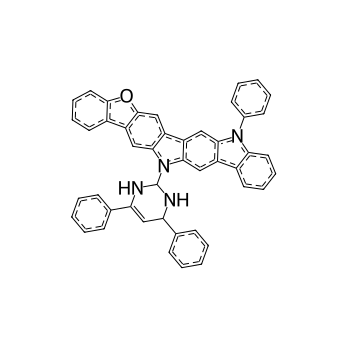 C1=C(c2ccccc2)NC(n2c3cc4c(cc3c3cc5c(cc32)c2ccccc2n5-c2ccccc2)oc2ccccc24)NC1c1ccccc1